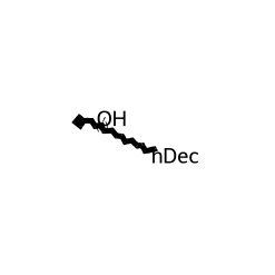 CCCCCCCCCCCCCCCCCCCC[C@@H](O)CCC1CCC1